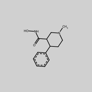 CN1CCC(c2ccccc2)C(C(=O)NO)C1